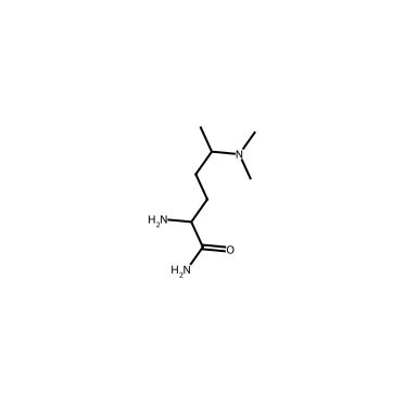 CC(CCC(N)C(N)=O)N(C)C